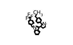 CCCc1ccc(C2[N]CCC2c2cn(Cc3ccc(C(F)(F)F)cc3)c3ccccc23)cc1